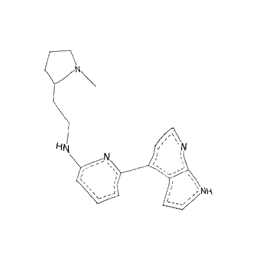 CN1CCCC1CCNc1cccc(-c2ccnc3[nH]ccc23)n1